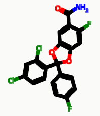 NC(=O)c1cc2c(cc1F)OC(c1ccc(F)cc1)(c1ccc(Cl)cc1Cl)O2